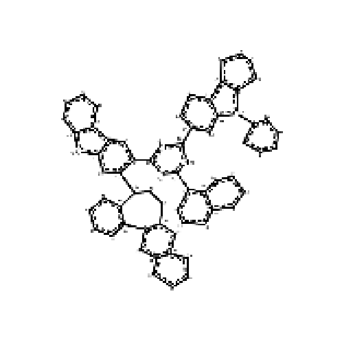 c1ccc(-n2c3ccccc3c3ccc(-c4nc(-c5cc6c(cc5C5CCc7cc8ccccc8cc7-c7ccccc75)oc5ccccc56)nc(-c5cccc6ccccc56)n4)cc32)cc1